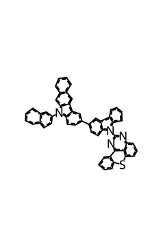 c1ccc2c(c1)Sc1cccc3nc(-n4c5ccccc5c5cc(-c6ccc7c(c6)c6cc8ccccc8cc6n7-c6ccc7ccccc7c6)ccc54)nc-2c13